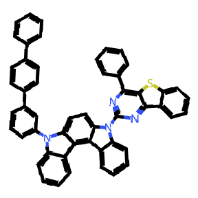 c1ccc(-c2ccc(-c3cccc(-n4c5ccccc5c5c6c7ccccc7n(-c7nc(-c8ccccc8)c8sc9ccccc9c8n7)c6ccc54)c3)cc2)cc1